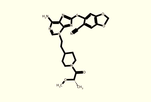 CO[C@@H](C)C(=O)N1CCC(CCn2cnc(N)c3nc(Sc4cc5c(cc4C#N)OCO5)nc2-3)CC1